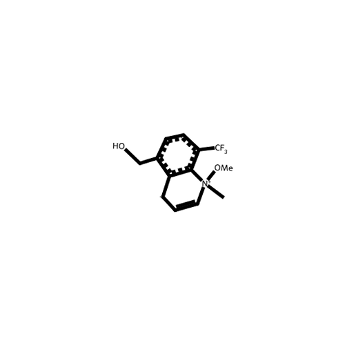 CO[N+]1(C)C=C[CH]c2c(CO)ccc(C(F)(F)F)c21